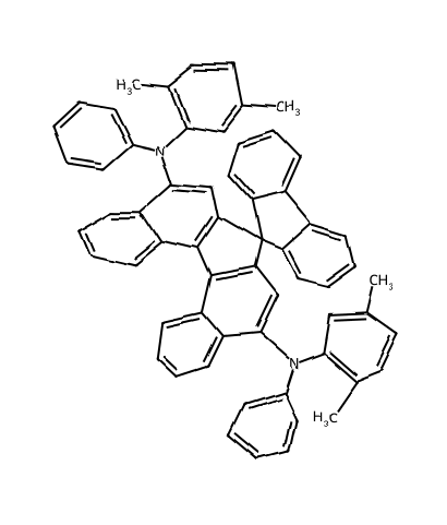 Cc1ccc(C)c(N(c2ccccc2)c2cc3c(c4ccccc24)-c2c(cc(N(c4ccccc4)c4cc(C)ccc4C)c4ccccc24)C32c3ccccc3-c3ccccc32)c1